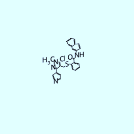 Cn1nc(-c2ccncc2)c(CSc2ccccc2C(=O)Nc2ccc3ccccc3c2)c1Cl